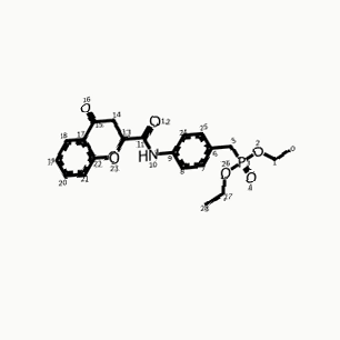 CCOP(=O)(Cc1ccc(NC(=O)C2CC(=O)c3ccccc3O2)cc1)OCC